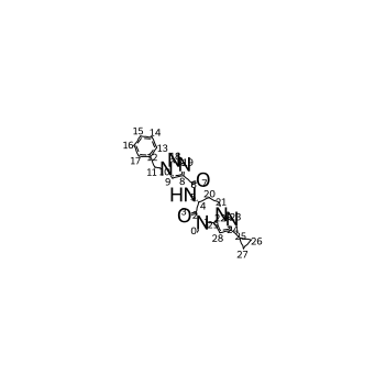 CN1C(=O)[C@H](NC(=O)c2cn(Cc3ccccc3)nn2)CCn2nc(C3CC3)cc21